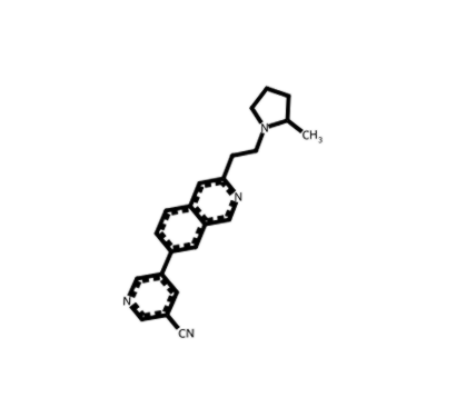 CC1CCCN1CCc1cc2ccc(-c3cncc(C#N)c3)cc2cn1